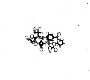 COC(=O)OC1CCCN1C(=O)c1cccc(Nc2c(NC(c3ccc(C)o3)C3(C)COC3)c(=O)c2=O)c1